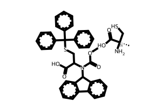 COC(=O)N(C(CSC(c1ccccc1)(c1ccccc1)c1ccccc1)C(=O)O)C1c2ccccc2-c2ccccc21.C[C@@](N)(CS)C(=O)O